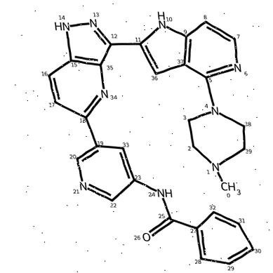 CN1CCN(c2nccc3[nH]c(-c4n[nH]c5ccc(-c6cncc(NC(=O)c7ccccc7)c6)nc45)cc23)CC1